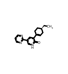 CC[C@H]1CC=C(c2cc(-c3ncccn3)c[nH]c2=O)CC1